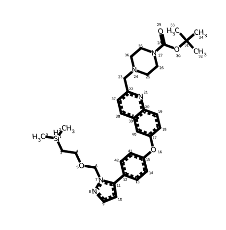 C[SiH](C)CCOCn1nccc1-c1ccc(Oc2ccc3nc(CN4CCN(C(=O)OC(C)(C)C)CC4)ccc3c2)cc1